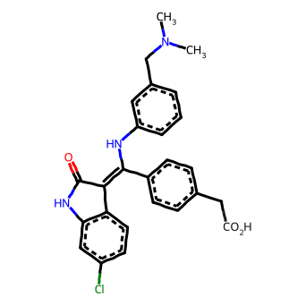 CN(C)Cc1cccc(N/C(=C2\C(=O)Nc3cc(Cl)ccc32)c2ccc(CC(=O)O)cc2)c1